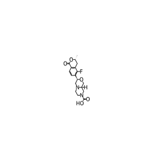 C[C@@H]1Cc2c(ccc([C@@H]3CN4CCN(C(=O)O)C[C@H]4CO3)c2F)C(=O)O1